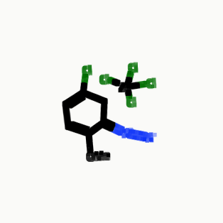 COC1=CC=C(Cl)CC1=[N+]=[N-].[Cl][Zn]([Cl])([Cl])[Cl]